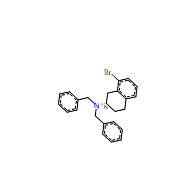 Brc1cccc2c1C[C@@H](N(Cc1ccccc1)Cc1ccccc1)CC2